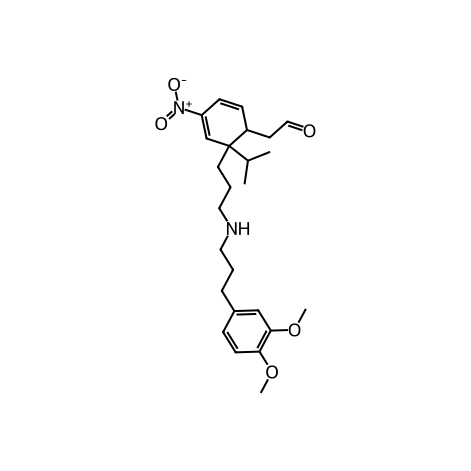 COc1ccc(CCCNCCCC2(C(C)C)C=C([N+](=O)[O-])C=CC2CC=O)cc1OC